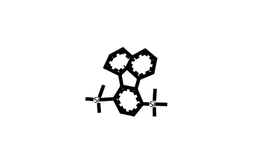 C[Si](C)(C)c1ccc([Si](C)(C)C)c2c1-c1cccc3cccc-2c13